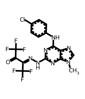 Cn1cnc2c(Nc3ccc(Cl)cc3)nc(NN=C(C(=O)C(F)(F)F)C(F)(F)F)nc21